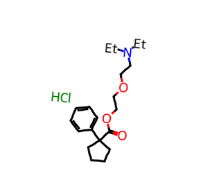 CCN(CC)CCOCCOC(=O)C1(c2ccccc2)CCCC1.Cl